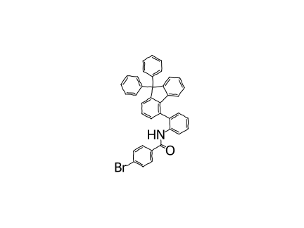 O=C(Nc1ccccc1-c1cccc2c1-c1ccccc1C2(c1ccccc1)c1ccccc1)c1ccc(Br)cc1